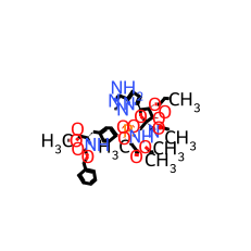 CCC(=O)O[C@H]1[C@H](c2ccc3c(N)ncnn23)O[C@](C#N)(COP(=O)(N[C@@H](C)C(=O)OC(C)C)Oc2ccc(C[C@H](NC(=O)OCc3ccccc3)C(=O)OC)cc2)[C@H]1OC(=O)CC